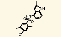 Cc1cc2c(NS(=O)(=O)c3cc(C)c(Cl)cc3C)cccc2[nH]1